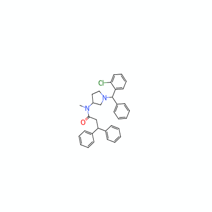 CN(C(=O)CC(c1ccccc1)c1ccccc1)C1CCN(C(c2ccccc2)c2ccccc2Cl)C1